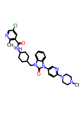 Cc1ncc(Cl)cc1C(=O)NC1CCC(Cn2c(=O)n(-c3ccc(N4CCN(C)CC4)nc3)c3ccccc32)CC1